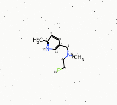 Cc1ccc(CN(C)CCF)cn1